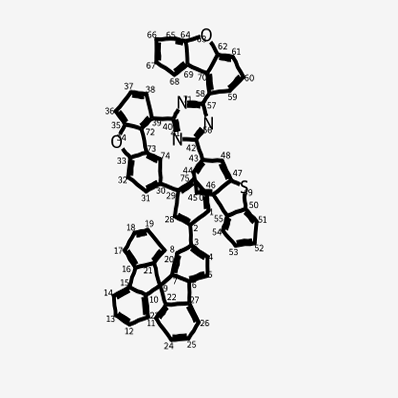 c1cc(-c2ccc3c(c2)C2(c4ccccc4-c4ccccc42)c2ccccc2-3)cc(-c2ccc3oc4cccc(-c5nc(-c6ccc7c(c6)sc6ccccc67)nc(-c6cccc7oc8ccccc8c67)n5)c4c3c2)c1